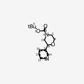 CC(C)(C)OC(=O)N1CCOC(c2cccnc2)C1